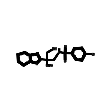 COC(CO)(CNS(=O)(=O)c1ccc(Br)cc1)c1nc2ccccc2s1